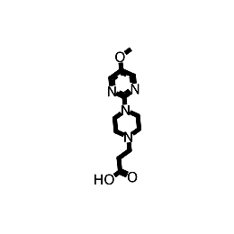 COc1cnc(N2CCN(CCC(=O)O)CC2)nc1